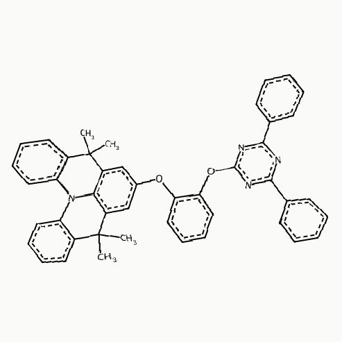 CC1(C)c2ccccc2N2c3ccccc3C(C)(C)c3cc(Oc4ccccc4Oc4nc(-c5ccccc5)nc(-c5ccccc5)n4)cc1c32